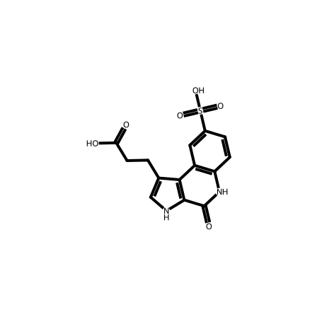 O=C(O)CCc1c[nH]c2c(=O)[nH]c3ccc(S(=O)(=O)O)cc3c12